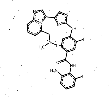 CN(C)Cc1cccc2ncc(-c3csc(Nc4ccc(C(=O)Nc5c(N)cccc5F)cc4F)n3)n12